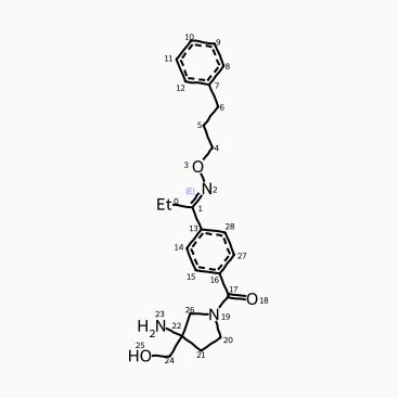 CC/C(=N\OCCCc1ccccc1)c1ccc(C(=O)N2CCC(N)(CO)C2)cc1